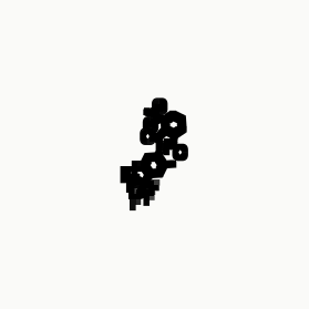 Cc1cc(C(F)(C(F)(F)F)C(F)(F)F)ccc1N1C(=O)c2cccc(S(C)(=O)=O)c2C1=O